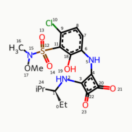 CC[C@H](Nc1c(Nc2ccc(Cl)c(S(=O)(=O)N(C)OC)c2O)c(=O)c1=O)C(C)C